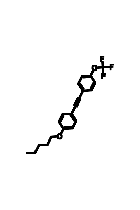 CCCCCOc1ccc(C#Cc2ccc(OC(F)(F)F)cc2)cc1